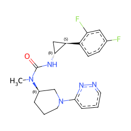 CN(C(=O)N[C@@H]1C[C@H]1c1ccc(F)cc1F)[C@@H]1CCCN(c2cccnn2)C1